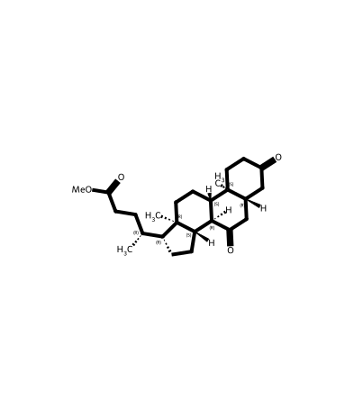 COC(=O)CC[C@@H](C)[C@H]1CC[C@H]2[C@@H]3C(=O)C[C@H]4CC(=O)CC[C@]4(C)[C@H]3CC[C@]12C